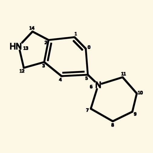 c1cc2c(cc1N1CCCCC1)CNC2